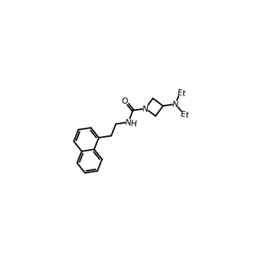 CCN(CC)C1CN(C(=O)NCCc2cccc3ccccc23)C1